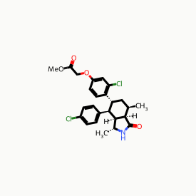 COC(=O)COc1ccc([C@@H]2C[C@@H](C)[C@H]3C(=O)N[C@H](C)[C@H]3[C@H]2c2ccc(Cl)cc2)c(Cl)c1